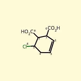 O=C(O)C1C=CCC(Cl)C1C(=O)O